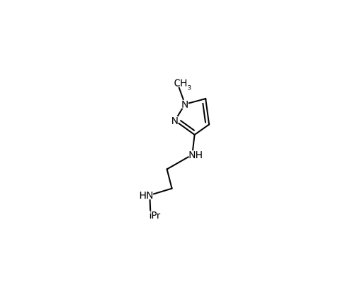 CC(C)NCCNc1ccn(C)n1